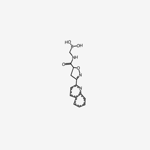 O=C(NCB(O)O)C1CC(c2ccc3ccccc3n2)=NO1